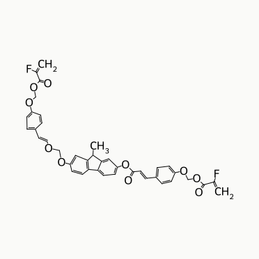 C=C(F)C(=O)OCOc1ccc(/C=C/OCOc2ccc3c(c2)C(C)c2cc(OC(=O)/C=C/c4ccc(OCOC(=O)C(=C)F)cc4)ccc2-3)cc1